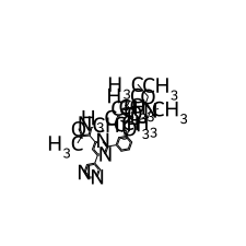 Cc1noc(C)c1-c1cc(-c2cncnc2)nc(-c2cccc(OCC(CN(C)C(=O)OC(C)(C)C)O[Si](C)(C)C(C)(C)C)c2)n1